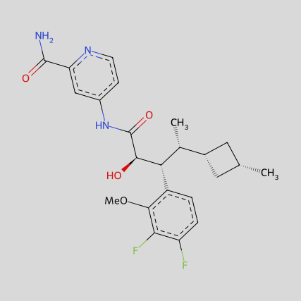 COc1c([C@H]([C@@H](O)C(=O)Nc2ccnc(C(N)=O)c2)[C@H](C)[C@H]2C[C@@H](C)C2)ccc(F)c1F